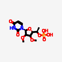 COC1C(OC)[C@@H]([C@@H](C)OP(=O)(O)O)O[C@H]1n1ccc(=O)[nH]c1=O